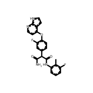 Cc1c(F)cccc1NC(=O)C(C(N)=O)c1ccc(Oc2ccnc3[nH]ccc23)c(F)c1